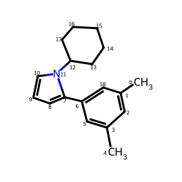 Cc1cc(C)cc(-c2cccn2C2CCCCC2)c1